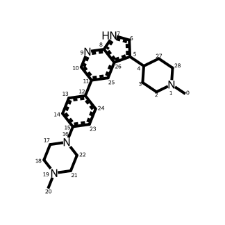 CN1CCC(c2c[nH]c3ncc(-c4ccc(N5CCN(C)CC5)cc4)cc23)CC1